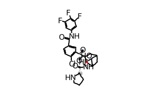 O=C(Nc1cc(F)c(F)c(F)c1)c1ccc(Cl)c(S(=O)(=O)C2CC3CC(C2)C3(O)PNC(=O)[C@@H]2CCCN2)c1